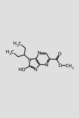 CCC(CC)n1c(O)nc2nc(C(=O)OC)cnc21